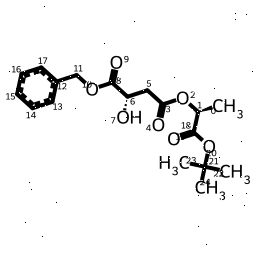 C[C@H](OC(=O)C[C@H](O)C(=O)OCc1ccccc1)C(=O)OC(C)(C)C